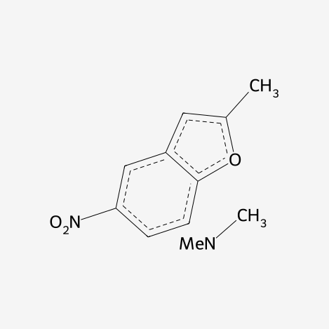 CNC.Cc1cc2cc([N+](=O)[O-])ccc2o1